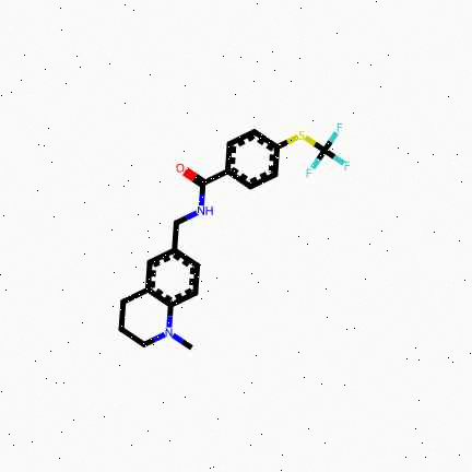 CN1CCCc2cc(CNC(=O)c3ccc(SC(F)(F)F)cc3)ccc21